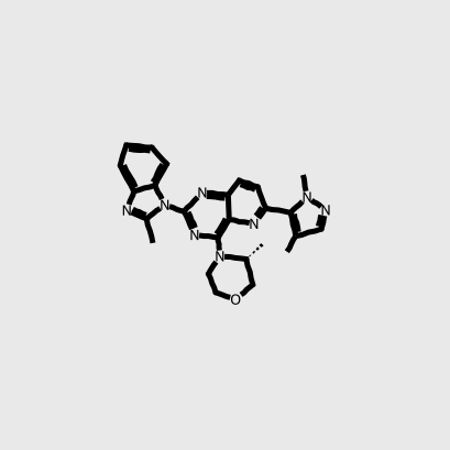 Cc1cnn(C)c1-c1ccc2nc(-n3c(C)nc4ccccc43)nc(N3CCOC[C@H]3C)c2n1